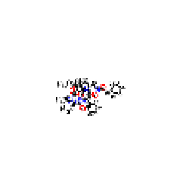 C[C@@H](C(=O)NC(C(=O)N1CCCC1/C=N/OCc1ccccc1)C1CCCCC1)N(C)C(=O)OC(C)(C)C